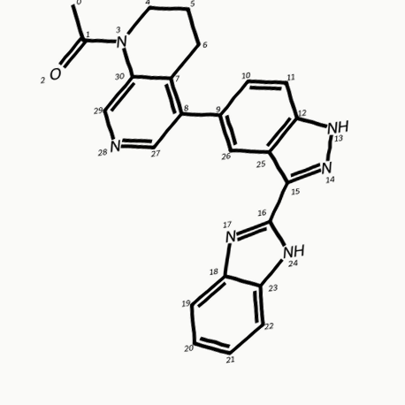 CC(=O)N1CCCc2c(-c3ccc4[nH]nc(-c5nc6ccccc6[nH]5)c4c3)cncc21